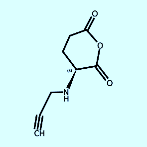 C#CCN[C@H]1CCC(=O)OC1=O